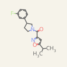 CC(C)c1cc(C(=O)N2CCC(c3cccc(F)c3)C2)no1